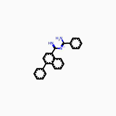 N=C(/N=C(\N)c1ccccc1)c1ccc(-c2ccccc2)c2ccccc12